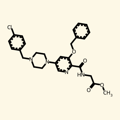 COC(=O)CNC(=O)c1ncc(N2CCN(Cc3ccc(Cl)cc3)CC2)cc1OCc1ccccc1